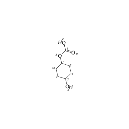 O=C(O)OC1CCC(O)CC1